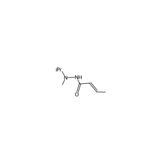 CC=CC(=O)NN(C)C(C)C